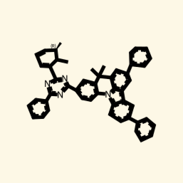 CC1C(c2nc(-c3ccccc3)nc(-c3ccc4c(c3)C(C)(C)c3cc(-c5ccccc5)cc5c6cc(-c7ccccc7)ccc6n-4c35)n2)=CC=C[C@H]1C